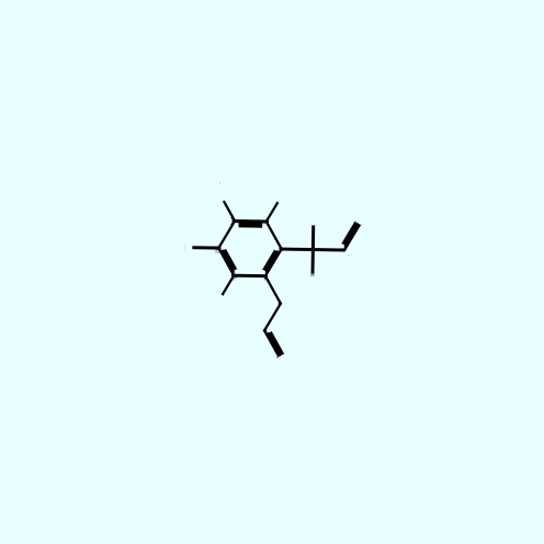 C=CCc1c(C(=O)O)c(F)c(F)c(C(=O)O)c1C(F)(F)C=C